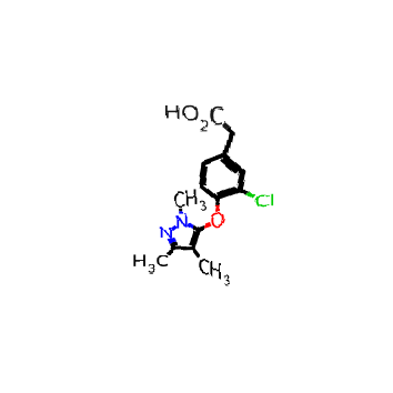 Cc1nn(C)c(Oc2ccc(CC(=O)O)cc2Cl)c1C